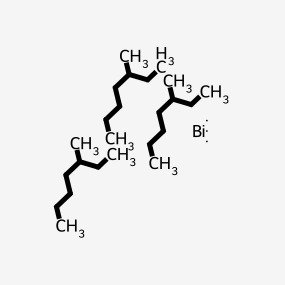 CCCCC(C)CC.CCCCC(C)CC.CCCCC(C)CC.[Bi]